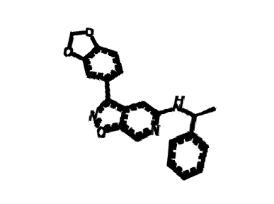 C[C@H](Nc1cc2c(-c3ccc4c(c3)OCO4)noc2cn1)c1ccccc1